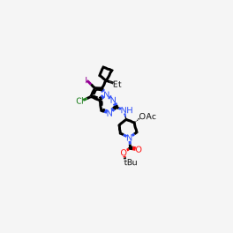 CCC1(c2c(I)c(Cl)c3cnc(N[C@@H]4CCN(C(=O)OC(C)(C)C)C[C@H]4OC(C)=O)nn23)CCC1